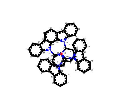 C1=CC(n2c3ccccc3c3ccccc32)=NC(n2c3ccccc3c3ccc4c5ccccc5n(-c5cccc(-n6c7ccccc7c7ccccc76)n5)c4c32)C1